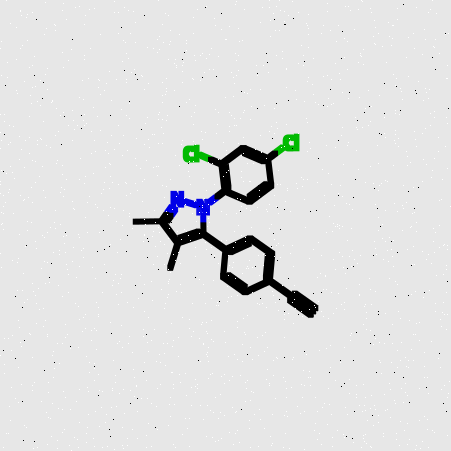 C#Cc1ccc(-c2c(C)c(C)nn2-c2ccc(Cl)cc2Cl)cc1